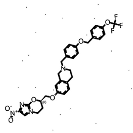 O=[N+]([O-])c1cn2c(n1)O[C@@H](COc1ccc3c(c1)CN(Cc1ccc(OCc4ccc(OC(F)(F)F)cc4)cc1)CC3)CC2